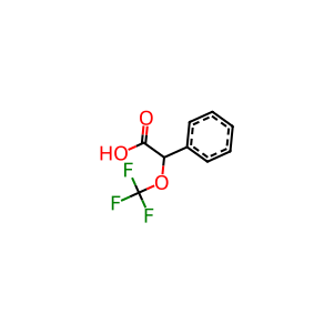 O=C(O)C(OC(F)(F)F)c1ccccc1